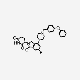 O=C1CCC(N2Cc3c(cc(F)cc3C3CCN(Cc4ccc(Oc5ccccc5)cc4)CC3)C2=O)C(=O)N1